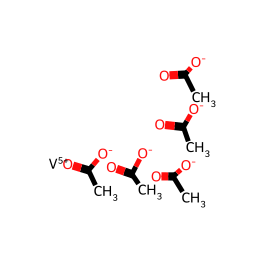 CC(=O)[O-].CC(=O)[O-].CC(=O)[O-].CC(=O)[O-].CC(=O)[O-].[V+5]